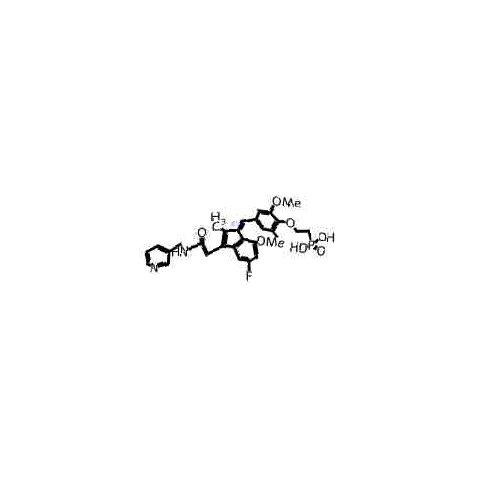 COc1cc(/C=C2/C(C)=C(CC(=O)NCc3cccnc3)c3cc(F)ccc32)cc(OC)c1OCCP(=O)(O)O